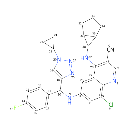 N#Cc1cnc2c(Cl)cc(NC(c3ccc(F)cc3)c3cn(C4CC4)nn3)cc2c1NC1C2CCCC21